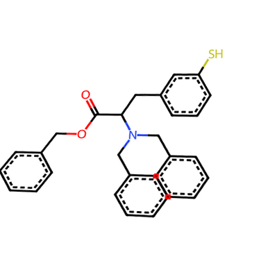 O=C(OCc1ccccc1)C(Cc1cccc(S)c1)N(Cc1ccccc1)Cc1ccccc1